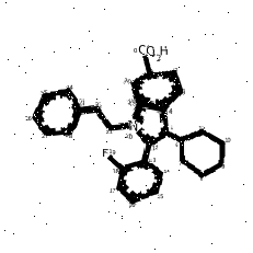 O=C(O)c1ccc2c(C3CCCCC3)c(-c3ccccc3F)n(CCc3ccccc3)c2c1